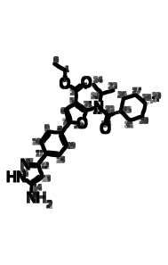 CCOC(=O)c1cc(-c2ccc(-c3cc(N)[nH]n3)cc2)oc1N(C(=O)[C@H]1CC[C@H](C)CC1)C(C)C